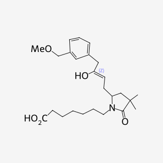 COCc1cccc(C/C(O)=C/CC2CC(C)(C)C(=O)N2CCCCCCC(=O)O)c1